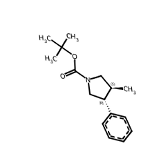 C[C@@H]1CN(C(=O)OC(C)(C)C)C[C@H]1c1ccccc1